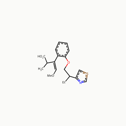 CCC(COc1ccccc1/C(=C/OC)C(C)C(=O)O)c1cscn1